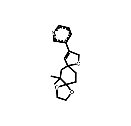 CC1(C)CC2(C=C(c3cccnc3)CO2)CCC12OCCO2